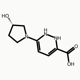 O=C(O)C1=CC=C(N2CC[C@H](O)C2)NN1